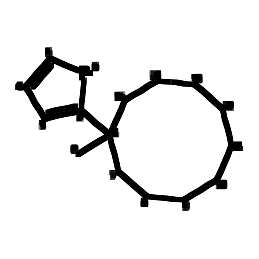 CC1(C2=CC=C[P]2)CCCCCCCCC1